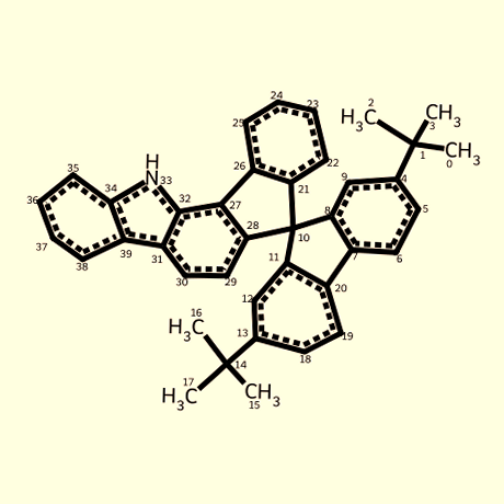 CC(C)(C)c1ccc2c(c1)C1(c3cc(C(C)(C)C)ccc3-2)c2ccccc2-c2c1ccc1c2[nH]c2ccccc21